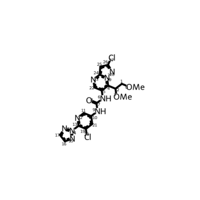 COCC(OC)c1c(NC(=O)Nc2cnc(-n3nccn3)c(Cl)c2)cnc2cc(Cl)nn12